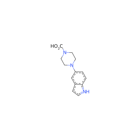 O=C(O)N1CCN(c2ccc3[nH]ccc3c2)CC1